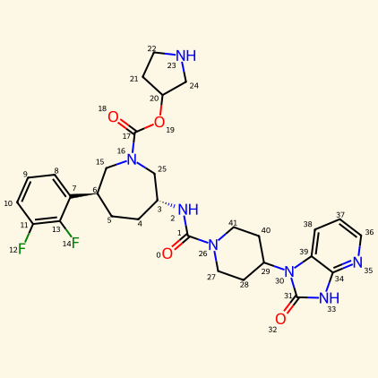 O=C(N[C@@H]1CC[C@@H](c2cccc(F)c2F)CN(C(=O)OC2CCNC2)C1)N1CCC(n2c(=O)[nH]c3ncccc32)CC1